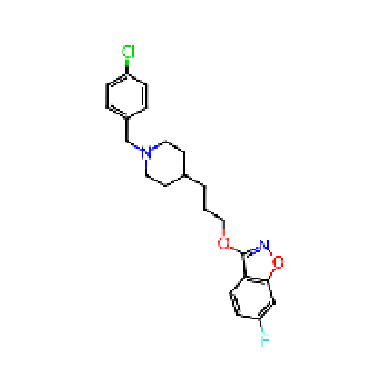 Fc1ccc2c(OCCCC3CCN(Cc4ccc(Cl)cc4)CC3)noc2c1